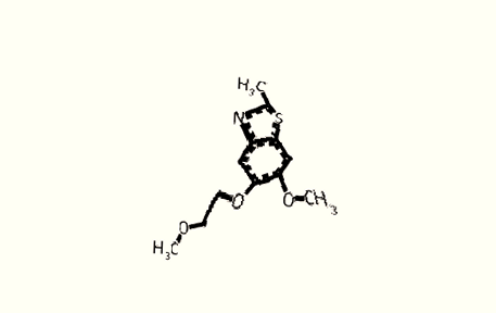 COCCOc1cc2nc(C)sc2cc1OC